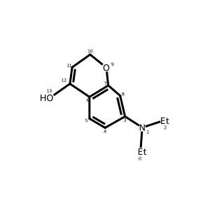 CCN(CC)c1ccc2c(c1)OCC=C2O